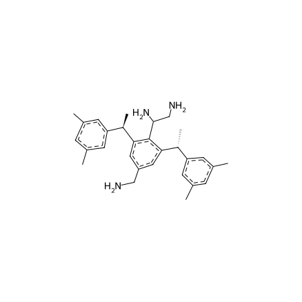 Cc1cc(C)cc([C@@H](C)c2cc(CN)cc([C@H](C)c3cc(C)cc(C)c3)c2C(N)CN)c1